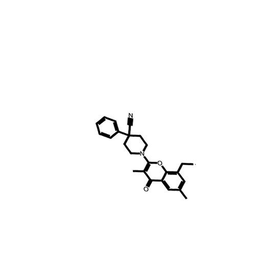 [CH2]Cc1cc(C)cc2c(=O)c(C)c(N3CCC(C#N)(c4ccccc4)CC3)oc12